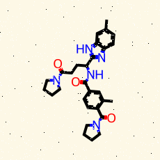 Cc1ccc2nc(C(CCC(=O)N3CCCC3)NC(=O)c3ccc(C(=O)N4CCCC4)c(C)c3)[nH]c2c1